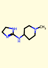 CN1CCC(NC2=NCCN2)CC1